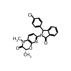 C[C@H]1Oc2nc(N3C(=O)c4ccccc4C3c3ccc(Cl)cc3)ccc2N(C)C1=O